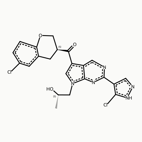 C[C@H](O)Cn1cc(C(=O)[C@@H]2COc3ccc(Cl)cc3C2)c2cnc(-c3cn[nH]c3Cl)nc21